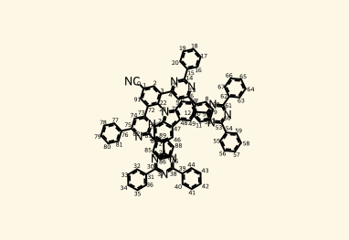 N#Cc1cc(-c2cc(-c3ccccc3)nc(-c3ccccc3)n2)c(-n2c3ccc(-c4nc(-c5ccccc5)nc(-c5ccccc5)n4)cc3c3cc(-c4nc(-c5ccccc5)nc(-c5ccccc5)n4)ccc32)c(-c2cc(-c3ccccc3)nc(-c3ccccc3)n2)c1